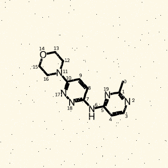 Cc1n[c]cc(Nc2ccc(N3CCOCC3)nn2)n1